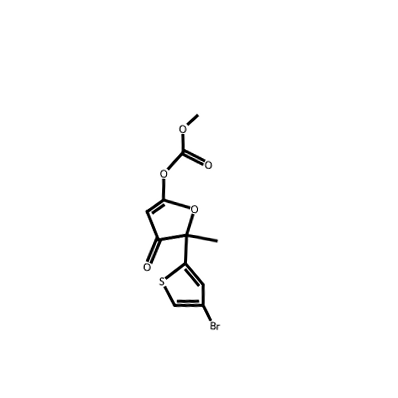 COC(=O)OC1=CC(=O)C(C)(c2cc(Br)cs2)O1